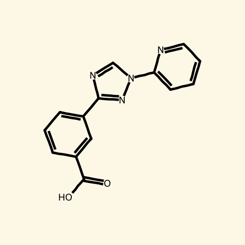 O=C(O)c1cccc(-c2ncn(-c3ccccn3)n2)c1